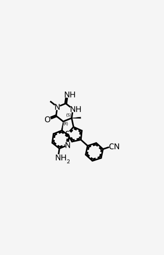 CN1C(=N)N[C@](C)(c2cc(-c3cccc(C#N)c3)cs2)[C@@H](c2ccc(N)nc2)C1=O